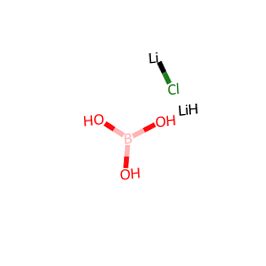 OB(O)O.[LiH].[Li][Cl]